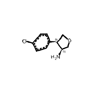 N[C@@H]1COC[C@@H]1c1ccc(Cl)cc1